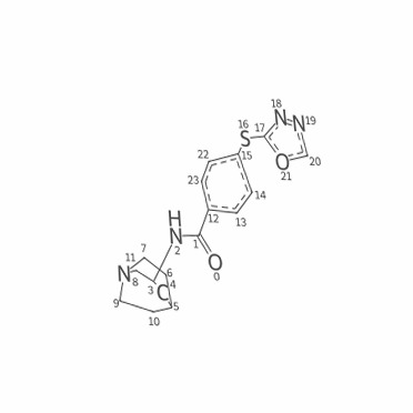 O=C(NC1CC2CCN(CC2)C1)c1ccc(Sc2nnco2)cc1